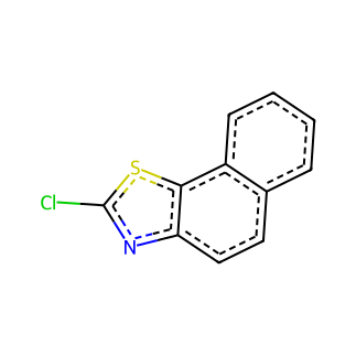 Clc1nc2ccc3ccccc3c2s1